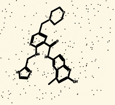 Cc1cc(O)nc2ccc(NC(=O)c3cc(CN4CCOCC4)cnc3NCc3ncc[nH]3)cc12